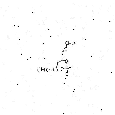 CS(=O)(=O)OC(COC=O)COC=O